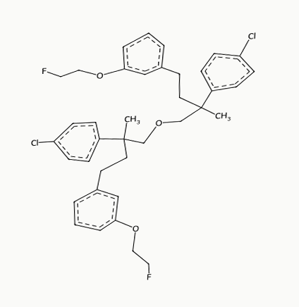 CC(CCc1cccc(OCCF)c1)(COCC(C)(CCc1cccc(OCCF)c1)c1ccc(Cl)cc1)c1ccc(Cl)cc1